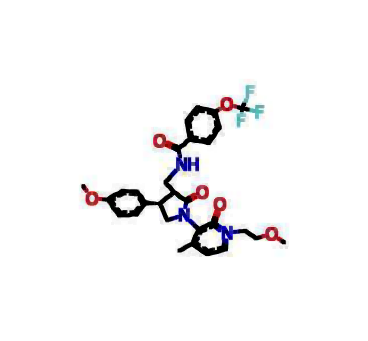 COCCn1ccc(C)c(N2C[C@@H](c3ccc(OC)cc3)C(CNC(=O)c3ccc(OC(F)(F)F)cc3)C2=O)c1=O